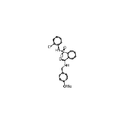 COc1ccc(CNC(=O)c2ccccc2S(=O)(=O)Nc2ccccc2Cl)cc1